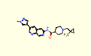 Cn1cc(-c2cnc3cnc(NC(=O)C4CCN(CC5(C(F)(F)F)CC5)CC4)cc3c2)cn1